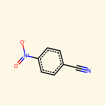 N#Cc1c[c]c([N+](=O)[O-])cc1